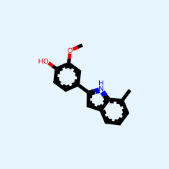 COc1cc(-c2cc3cccc(C)c3[nH]2)ccc1O